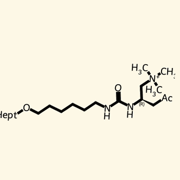 CCCCCCCOCCCCCCNC(=O)N[C@H](CC(C)=O)C[N+](C)(C)C